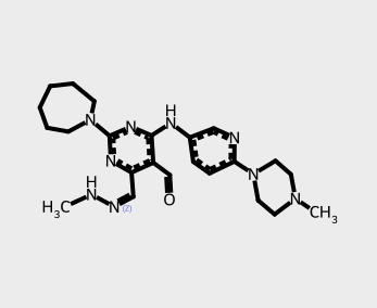 CN/N=C\c1nc(N2CCCCCC2)nc(Nc2ccc(N3CCN(C)CC3)nc2)c1C=O